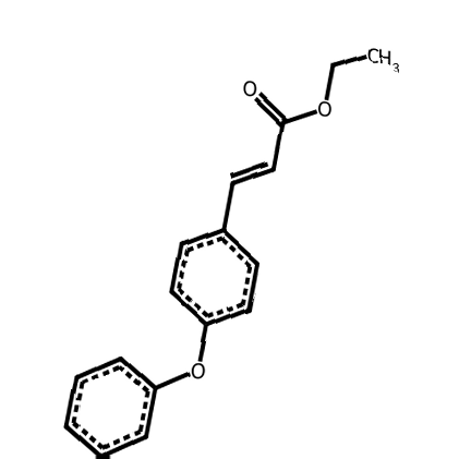 CCOC(=O)C=Cc1ccc(Oc2ccccc2)cc1